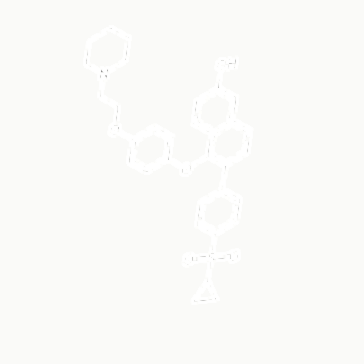 O=S(=O)(c1ccc(-c2ccc3cc(O)ccc3c2Oc2ccc(OCCN3CCCCC3)cc2)cc1)C1CC1